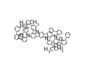 CC(C)(C)c1ccc2c(c1)c1c(N(c3ccccc3-c3ccccc3)c3cccc4c3oc3c(-c5ccccc5)cccc34)ccc3c4cc5c(cc4n2c31)c1ccc(N(c2ccccc2-c2ccccc2)c2cccc3c2oc2c(-c4ccccc4)cccc23)c2c3cc(C(C)(C)C)ccc3n5c12